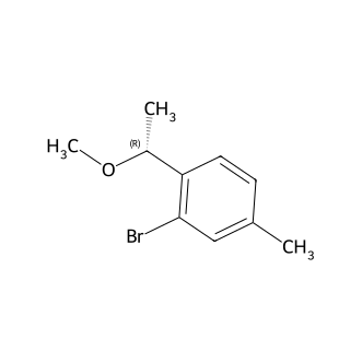 CO[C@H](C)c1ccc(C)cc1Br